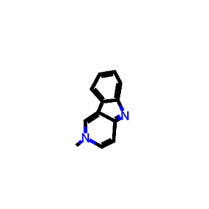 Cn1ccc2nc3ccccc3c-2c1